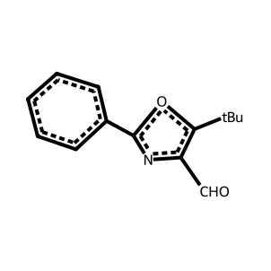 CC(C)(C)c1oc(-c2ccccc2)nc1C=O